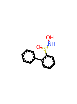 [O-][S+](NO)c1ccccc1-c1ccccc1